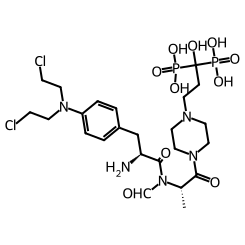 C[C@@H](C(=O)N1CCN(CCC(O)(P(=O)(O)O)P(=O)(O)O)CC1)N(C=O)C(=O)[C@@H](N)Cc1ccc(N(CCCl)CCCl)cc1